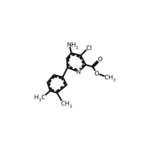 COC(=O)c1nc(-c2ccc(C)c(C)c2)cc(N)c1Cl